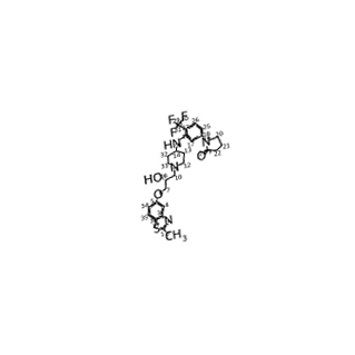 Cc1nc2cc(OC[C@H](O)CN3CCC(Nc4cc(N5CCCC5=O)ccc4C(F)(F)F)CC3)ccc2s1